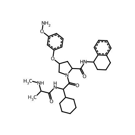 CNC(C)C(=O)NC(C(=O)N1CC(Oc2cccc(ON)c2)CC1C(=O)NC1CCCc2ccccc21)C1CCCCC1